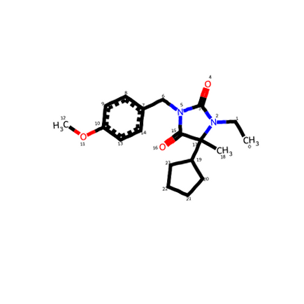 CCN1C(=O)N(Cc2ccc(OC)cc2)C(=O)C1(C)C1CCCC1